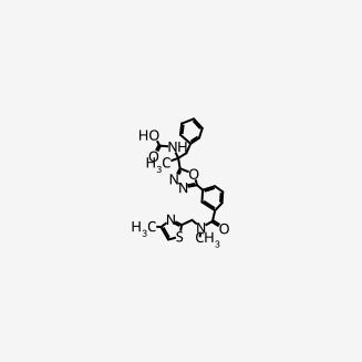 Cc1csc(CN(C)C(=O)c2cccc(-c3nnc(C(C)(Cc4ccccc4)NC(=O)O)o3)c2)n1